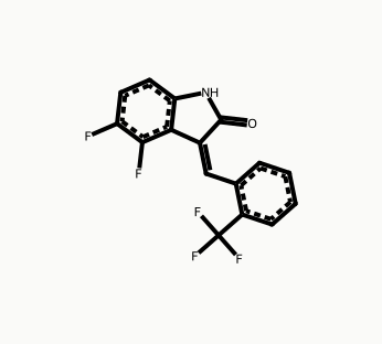 O=C1Nc2ccc(F)c(F)c2C1=Cc1ccccc1C(F)(F)F